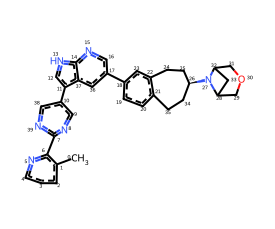 Cc1cccnc1-c1ncc(-c2c[nH]c3ncc(-c4ccc5c(c4)CC[C@@H](N4C6COCC4C6)CC5)cc23)cn1